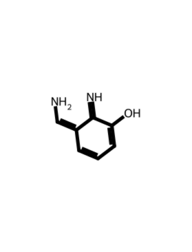 N=C1C(O)=CC=C/C1=C/N